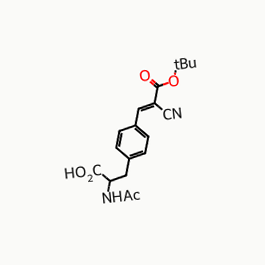 CC(=O)NC(Cc1ccc(/C=C(\C#N)C(=O)OC(C)(C)C)cc1)C(=O)O